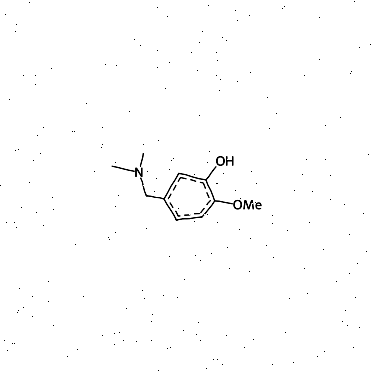 COc1ccc(CN(C)C)cc1O